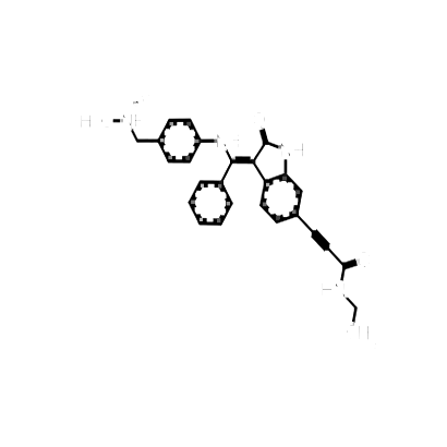 CCNC(=O)C#Cc1ccc2c(c1)NC(=O)/C2=C(\Nc1ccc(C[NH+](C)[O-])cc1)c1ccccc1